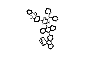 c1ccc(N(c2ccccc2)c2nc(-c3ccc4c(c3)Oc3ccccc3O4)nc(-c3c4ccccc4c(-c4ccc5c(c4)C4(c6ccccc6-5)C5CC6CC(C5)CC4C6)c4ccccc34)n2)cc1